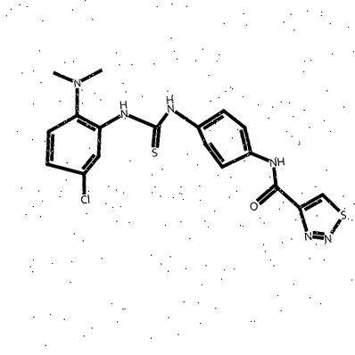 CN(C)c1ccc(Cl)cc1NC(=S)Nc1ccc(NC(=O)c2csnn2)cc1